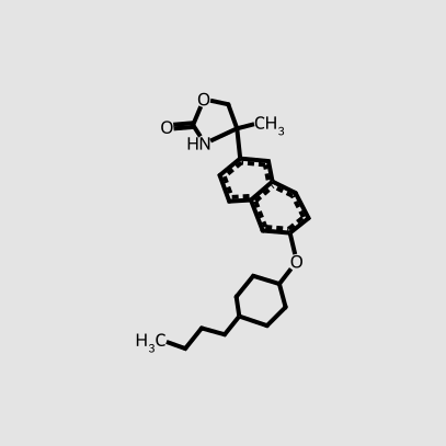 CCCCC1CCC(Oc2ccc3cc(C4(C)COC(=O)N4)ccc3c2)CC1